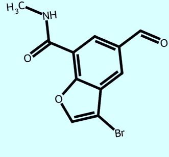 CNC(=O)c1cc(C=O)cc2c(Br)coc12